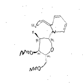 C=C1C=CC=CN1[C@@H]1O[C@H](COC)[C@@H](OC)[C@H]1F